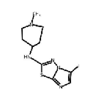 CN1CCC(Nc2nn3c(I)cnc3s2)CC1